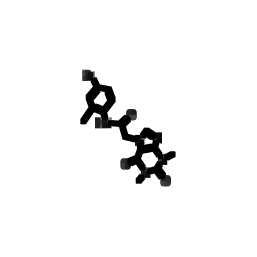 Cc1cc(Br)ccc1NC(=O)Cn1cnc2c1c(=O)n(C)c(=O)n2C